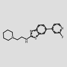 Fc1cc(-c2ccc3nc(NCCN4CCCCC4)sc3c2)ccn1